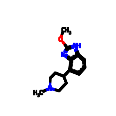 COc1nc2c(C3CCN(C)CC3)cccc2[nH]1